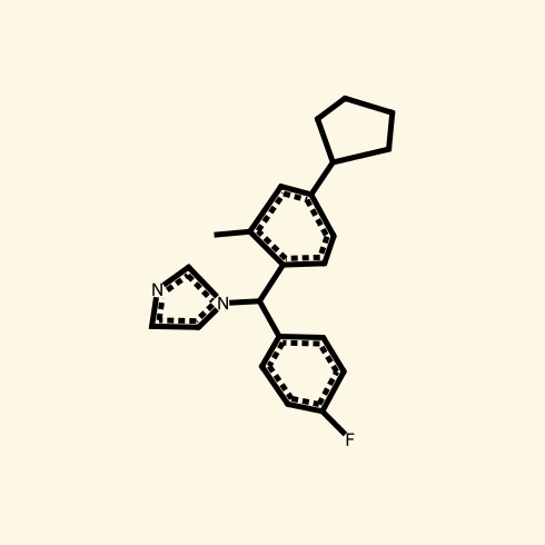 Cc1cc(C2CCCC2)ccc1C(c1ccc(F)cc1)n1ccnc1